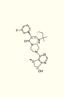 C[C@@H]1C[C@@H](O)c2ncnc(N3CCN(C(=O)[C@@H](c4cccc(F)c4)[C@@H]4CCC(C)(C)N4)CC3)c21